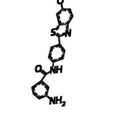 COc1ccc2nc(-c3ccc(NC(=O)c4cccc(N)c4)cc3)sc2c1